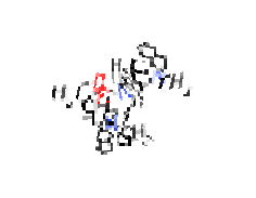 C=C(C)C(=O)OCCN(C(C)=O)C1=C(/C=C/C2N(C)c3ccc4ccccc4c3C2(C)C)CC/C1=C\C=C1\N(C)c2ccc3ccccc3c2C1(C)C